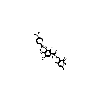 Cc1cc(C)c(CNC(=O)c2cc(Cl)c3c(c2Cl)O[C@H]([C@H]2CC[C@H](N(C)C)CC2)CO3)c(=O)[nH]1